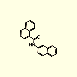 O=C(Nc1ccc2ccccc2c1)c1cccc2ccccc12